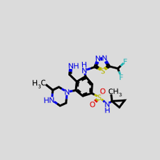 CC1CN(c2cc(S(=O)(=O)NC3(C)CC3)cc(Nc3nnc(C(F)F)s3)c2C=N)CCN1